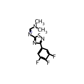 CN(C)/C=N\c1nc(-c2cc(F)c(F)c(F)c2)ns1